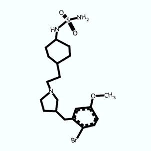 COc1ccc(Br)c(CC2CCN(CCC3CCC(NS(N)(=O)=O)CC3)C2)c1